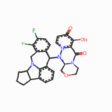 O=C1c2c(O)c(=O)ccn2N(C2c3ccc(F)c(F)c3CN3c4c(cccc42)C2CCCC23)C2COCCN12